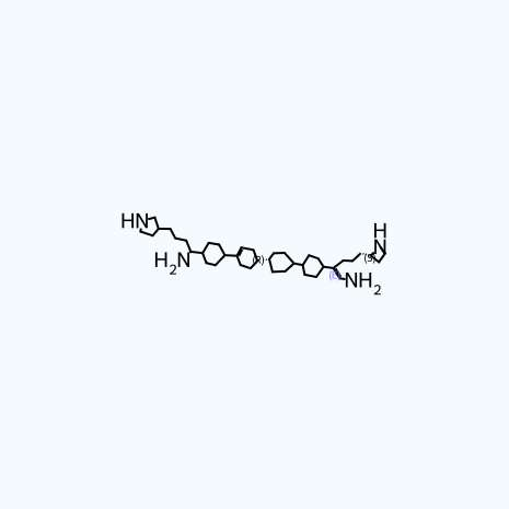 N/C=C(\CCC[C@H]1CCN1)C1CCC(C2CCC([C@H]3CC=C(C4CCC(C(N)CCCC5CCNC5)CC4)CC3)CC2)CC1